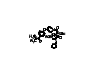 CN(C)C(=O)c1ccc(OC2CCN(C(=O)[C@@H](NC(=O)[C@H](CC3CCCC3)CN(O)C=O)C(C)(C)C)CC2)cc1